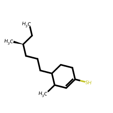 CC[C@H](C)CCCC1CCC(S)=CC1C